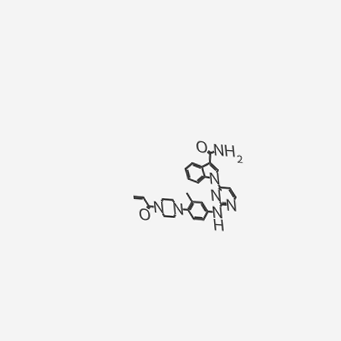 C=CC(=O)N1CCN(c2ccc(Nc3nccc(-n4cc(C(N)=O)c5ccccc54)n3)cc2C)CC1